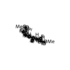 COC(=O)N[C@H](C(=O)N1C[C@@H](F)CC1c1ncc(-c2ccc(-c3ccc(-c4cnc([C@@H]5C[C@H](F)CN5C(=O)[C@@H](NC(=O)OC)C(C)C)[nH]4)cc3)c3c2C2CCC3C2)[nH]1)C(C)C